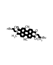 C=c1c2ccc3c4c(C#N)cc5c6c(ccc(c7c(C#N)cc(c(=O)n1CC(C)CCCC)c2c37)c64)C(=O)N(CC(C)CCCC)C5=O